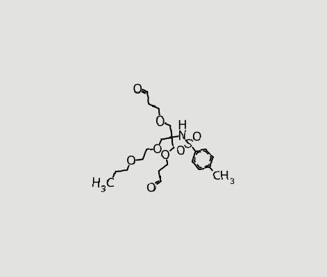 CCCOCCOCC(COCCC=O)(COCCC=O)NS(=O)(=O)c1ccc(C)cc1